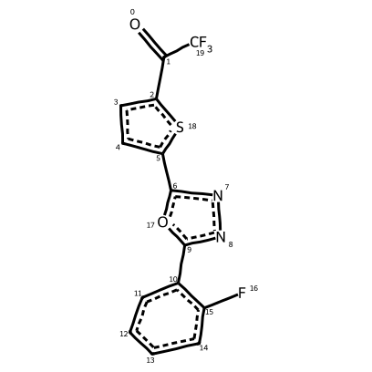 O=C(c1ccc(-c2nnc(-c3ccccc3F)o2)s1)C(F)(F)F